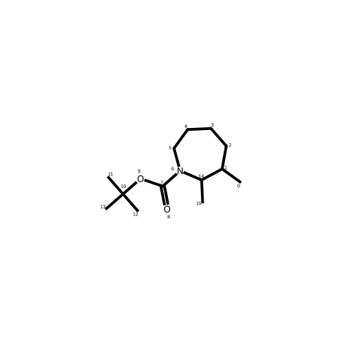 CC1CCCCN(C(=O)OC(C)(C)C)C1C